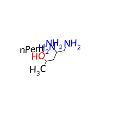 CC(O)CC(N)CN.CCCCCN